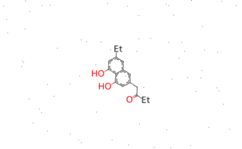 CCC(=O)Cc1cc(O)c2c(O)cc(CC)cc2c1